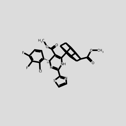 COC(=O)C1=C(C23C4C5C2C2C3C4C52C(=O)OC)NC(c2nccs2)=N[C@@H]1c1ccc(F)c(F)c1Cl